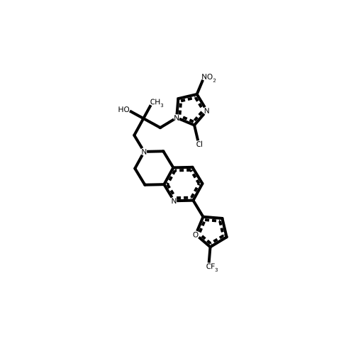 CC(O)(CN1CCc2nc(-c3ccc(C(F)(F)F)o3)ccc2C1)Cn1cc([N+](=O)[O-])nc1Cl